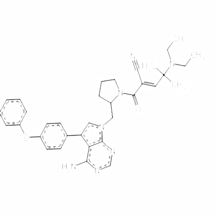 CCN(CC)C(C)(C)C=C(C#N)C(=O)N1CCCC1Cn1cc(-c2ccc(Oc3ccccc3)cc2)c2c(N)ncnc21